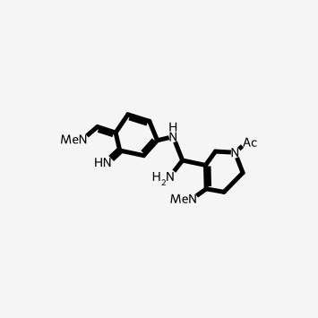 CN/C=C1/C=CC(NC(N)C2=C(NC)CCN(C(C)=O)C2)=CC1=N